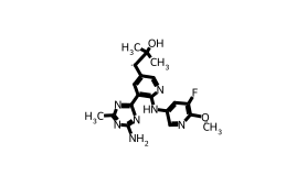 COc1ncc(Nc2ncc([CH]C(C)(C)O)cc2-c2nc(C)nc(N)n2)cc1F